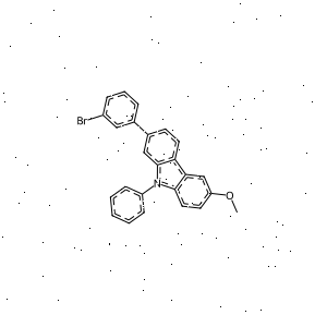 COc1ccc2c(c1)c1ccc(-c3cccc(Br)c3)cc1n2-c1ccccc1